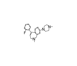 CN1CCN(c2ccc3c(c2)CN(C)CC=C3c2ccccc2F)CC1